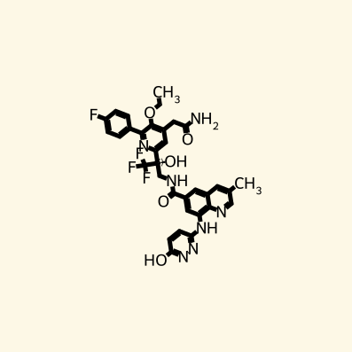 CCOc1c(CC(N)=O)cc([C@@](O)(CNC(=O)c2cc(Nc3ccc(O)nn3)c3ncc(C)cc3c2)C(F)(F)F)nc1-c1ccc(F)cc1